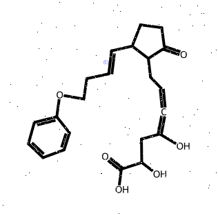 O=C(O)C(O)CC(O)=C=CCC1C(=O)CCC1/C=C/CCOc1ccccc1